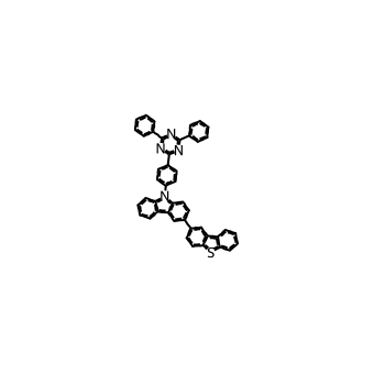 c1ccc(-c2nc(-c3ccccc3)nc(-c3ccc(-n4c5ccccc5c5cc(-c6ccc7sc8ccccc8c7c6)ccc54)cc3)n2)cc1